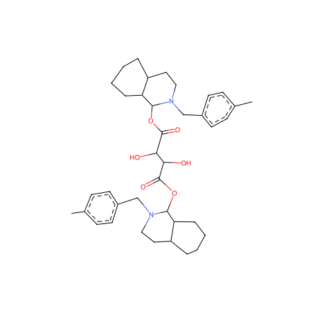 Cc1ccc(CN2CCC3CCCCC3C2OC(=O)C(O)C(O)C(=O)OC2C3CCCCC3CCN2Cc2ccc(C)cc2)cc1